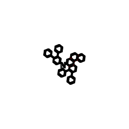 C1=CCC(c2ccc(-c3ccccc3)c(-c3ccccc3N(c3ccc(-c4ccccc4)cc3)c3ccc(-c4ccccc4)c(-c4ccccc4)c3)c2)C=C1